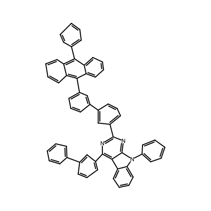 c1ccc(-c2cccc(-c3nc(-c4cccc(-c5cccc(-c6c7ccccc7c(-c7ccccc7)c7ccccc67)c5)c4)nc4c3c3ccccc3n4-c3ccccc3)c2)cc1